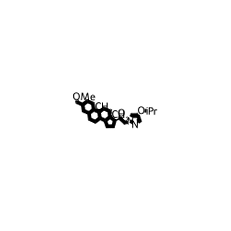 COCC1CCC2(C)C(CCC3C2CCC2(C)C3CC[C@@H]2C(=O)Cn2cc(OC(C)C)cn2)C1